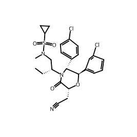 CC[C@H](CN(C)S(=O)(=O)C1CC1)N1C(=O)[C@@H](CC#N)O[C@H](c2cccc(Cl)c2)[C@H]1c1ccc(Cl)cc1